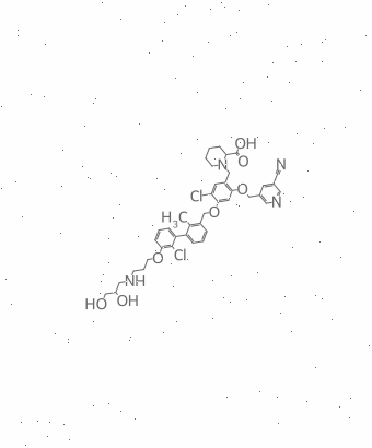 Cc1c(COc2cc(OCc3cncc(C#N)c3)c(CN3CCCCC3C(=O)O)cc2Cl)cccc1-c1cccc(OCCCNCC(O)CO)c1Cl